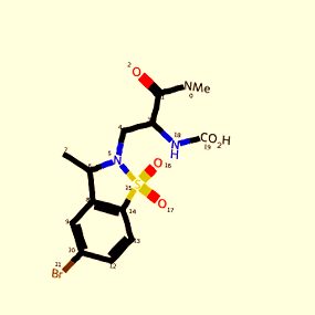 CNC(=O)C(CN1C(C)c2cc(Br)ccc2S1(=O)=O)NC(=O)O